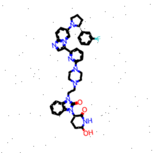 O=C1NC(O)CCC1n1c(=O)n(CCN2CCN(c3cccc(-c4cnc5ccc(N6CCC[C@@H]6c6cccc(F)c6)cn45)n3)CC2)c2ccccc21